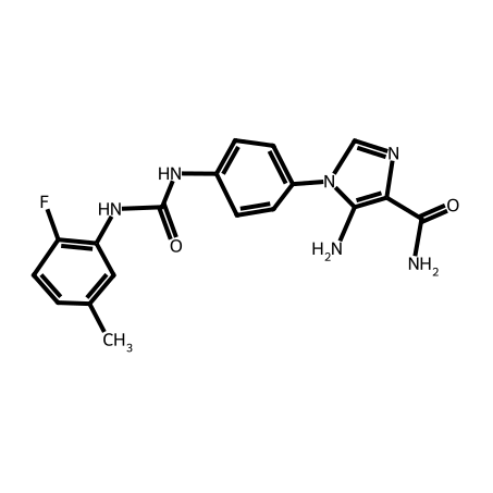 Cc1ccc(F)c(NC(=O)Nc2ccc(-n3cnc(C(N)=O)c3N)cc2)c1